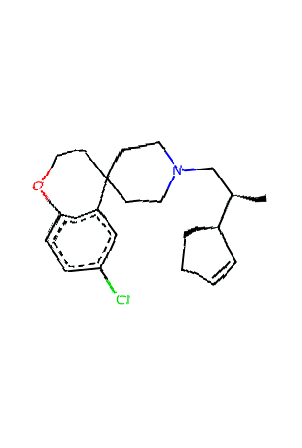 C[C@H](CN1CCC2(CCOc3ccc(Cl)cc32)CC1)[C@H]1C=CCC1